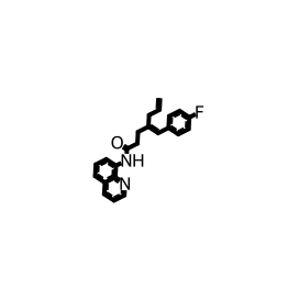 C=CCC(=Cc1ccc(F)cc1)CCC(=O)Nc1cccc2cccnc12